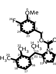 COc1cc(COC(=O)n2ccnc2[C@@H](C)c2cccc(C)c2C)ccc1F